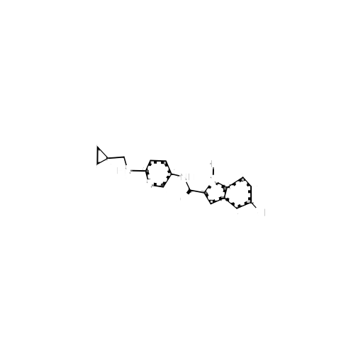 CCn1c(C(=O)Nc2ccc(NCC3CC3)nc2)cc2cc(Cl)ccc21